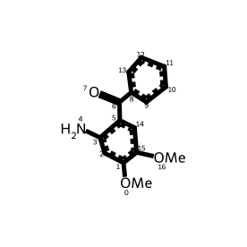 COc1cc(N)c(C(=O)c2ccccc2)cc1OC